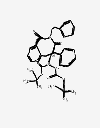 CC(C)(C)OC(=O)NN(C(=O)OC(C)(C)C)[C@]1(c2ccccc2)C(=O)N(Cc2ccccc2)C(=O)c2ccccc21